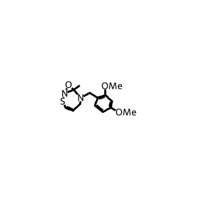 COc1ccc(CN2CC=CSN3OC23C)c(OC)c1